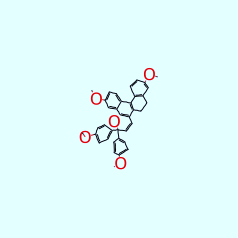 COc1ccc(C2(c3ccc(OC)cc3)C=Cc3c4c(c5ccc(OC)cc5c3O2)-c2ccc(OC)cc2CC4)cc1